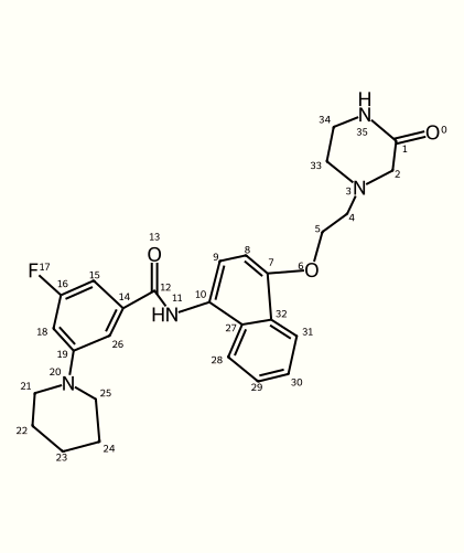 O=C1CN(CCOc2ccc(NC(=O)c3cc(F)cc(N4CCCCC4)c3)c3ccccc23)CCN1